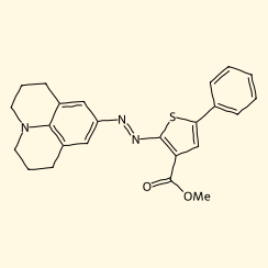 COC(=O)c1cc(-c2ccccc2)sc1N=Nc1cc2c3c(c1)CCCN3CCC2